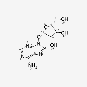 Nc1ncnc2c1ncn2O[C@@H]1O[C@H](CO)[C@@H](O)[C@@H]1O